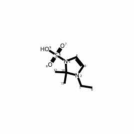 CCN1C=CN(S(=O)(=O)O)C1(C)C